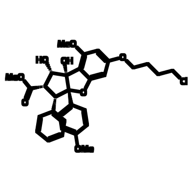 COC(=O)[C@H]1[C@@H](c2ccccc2)[C@@]2(c3ccc(OC)cc3)Oc3cc(OCCCCCl)cc(OC)c3[C@]2(O)[C@H]1O